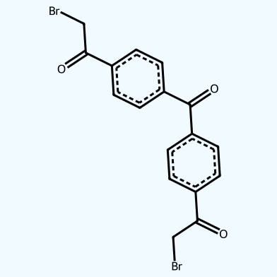 O=C(CBr)c1ccc(C(=O)c2ccc(C(=O)CBr)cc2)cc1